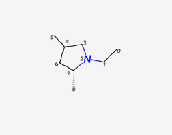 CCN1CC(C)C[C@H]1C